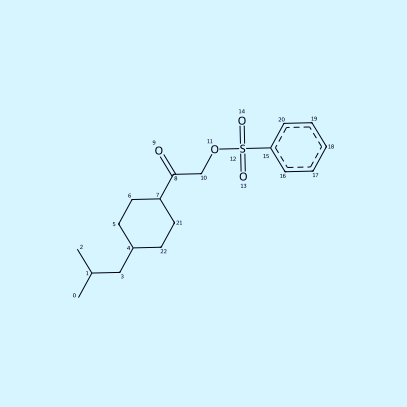 CC(C)CC1CCC(C(=O)COS(=O)(=O)c2ccccc2)CC1